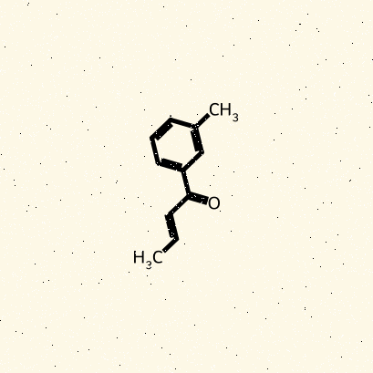 CC=CC(=O)c1cc[c]c(C)c1